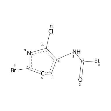 CCC(=O)Nc1ccc(Br)nc1Cl